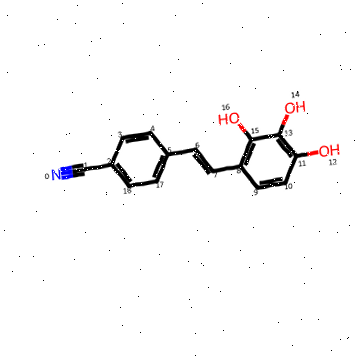 N#Cc1ccc(C=Cc2ccc(O)c(O)c2O)cc1